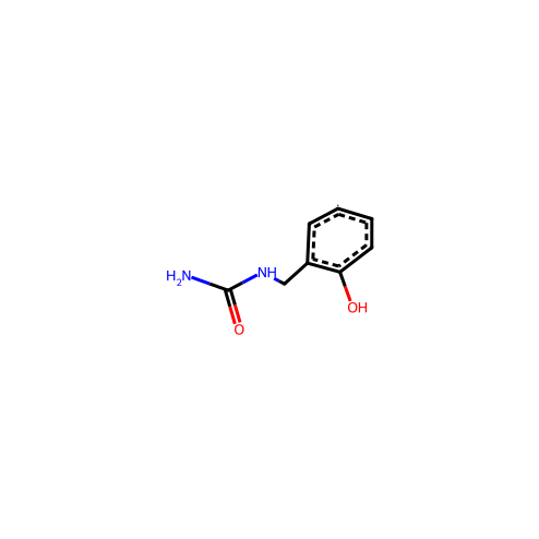 NC(=O)NCc1c[c]ccc1O